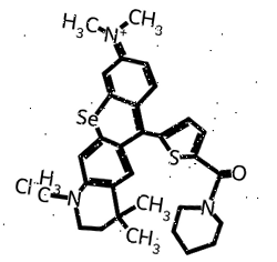 CN1CCC(C)(C)c2cc3c(-c4ccc(C(=O)N5CCCCC5)s4)c4ccc(=[N+](C)C)cc-4[se]c3cc21.[Cl-]